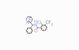 O=C(NC(c1ccccc1)C1CC2CCN1CC2)c1cccc(C(F)(F)F)c1Cl